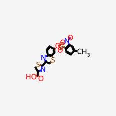 Cc1ccc(S(=O)(=O)Oc2ccc3c(c2)SCC(C2=NC(C(=O)O)CS2)=N3)c(N=O)c1